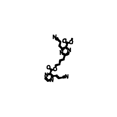 COC(=O)c1ncc(CCCCOC(=O)c2nccnc2/C=C/C#N)nc1CCC#N